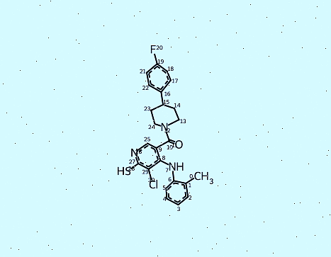 Cc1ccccc1Nc1c(C(=O)N2CCC(c3ccc(F)cc3)CC2)cnc(S)c1Cl